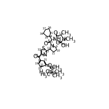 CC(C(=O)N[C@H](C(=O)N1CCCC1c1nc(C(=O)c2cccc(O[Si](C)(C)C(C)(C)C)c2)cs1)C1CCCCC1)N(C)C(=O)O